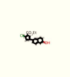 CCOC(=O)c1cc(-c2ccc3cc(O)ccc3c2)ccc1Cl